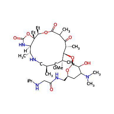 CC[C@H]1OC(=O)C(C)C(=O)[C@H](C)[C@@H](O[C@@H]2O[C@H](CNC(=O)CNC(C)C)CC(N(C)C)C2O)[C@](C)(OC)C[C@@H](C)CN[C@H](C)[C@H]2NC(=O)O[C@@]21CC